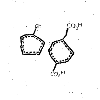 O=C(O)c1ccc(C(=O)O)cc1.Oc1ccccc1